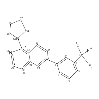 FC(F)(F)c1cccc(-c2ccc3c(N4CCCC4)ncnc3c2)c1